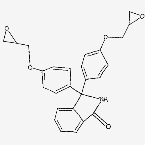 O=C1NC(c2ccc(OCC3CO3)cc2)(c2ccc(OCC3CO3)cc2)c2ccccc21